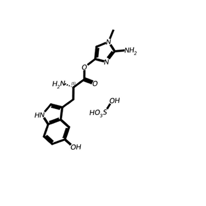 Cn1cc(OC(=O)[C@@H](N)Cc2c[nH]c3ccc(O)cc23)nc1N.O=S(=O)(O)O